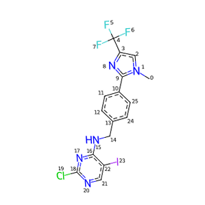 Cn1cc(C(F)(F)F)nc1-c1ccc(CNc2nc(Cl)ncc2I)cc1